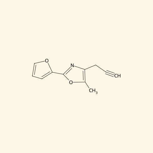 C#CCc1nc(-c2ccco2)oc1C